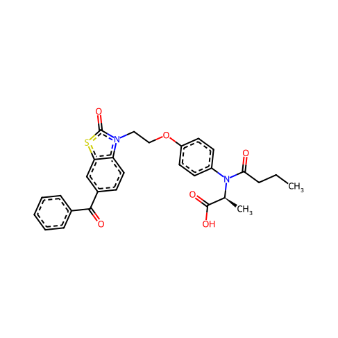 CCCC(=O)N(c1ccc(OCCn2c(=O)sc3cc(C(=O)c4ccccc4)ccc32)cc1)[C@@H](C)C(=O)O